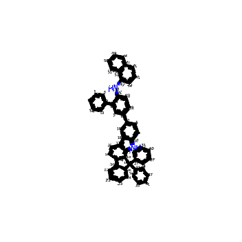 c1ccc(-c2cc(-c3ccc4[nH]c5c6c(ccc5c4c3)-c3ccccc3C6(c3ccccc3)c3ccccc3)ccc2Nc2cccc3ccccc23)cc1